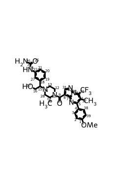 COc1ccc(-c2nc3c(C(=O)N4CCN(C(CO)c5cccc(NC(N)=O)c5)C[C@H]4C)cnn3c(C(F)(F)F)c2C)cc1